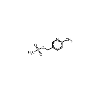 Cc1ccc(COS(C)(=O)=O)cn1